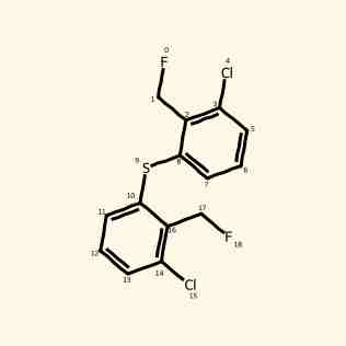 FCc1c(Cl)cccc1Sc1cccc(Cl)c1CF